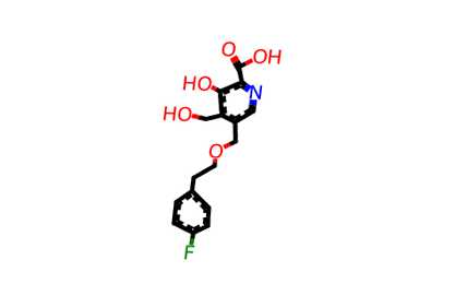 O=C(O)c1ncc(COCCc2ccc(F)cc2)c(CO)c1O